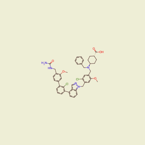 COc1cc(-c2cccc(-c3cccc4c3cnn4Cc3cc(OC)c(CN(Cc4ccccc4)[C@H]4CC[C@H](C(=O)O)CC4)cc3Cl)c2Cl)ccc1CNC(N)=O